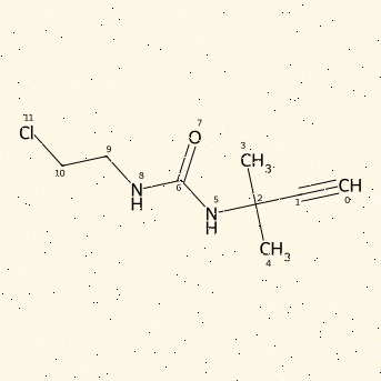 C#CC(C)(C)NC(=O)NCCCl